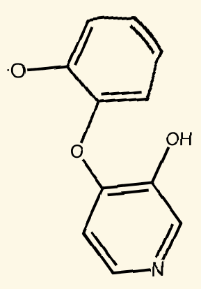 [O]c1ccccc1Oc1ccncc1O